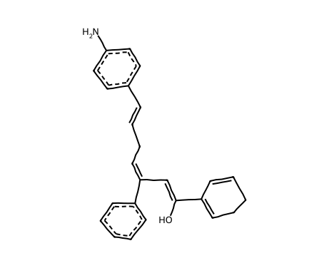 Nc1ccc(/C=C/C/C=C(\C=C(/O)C2=CCCC=C2)c2ccccc2)cc1